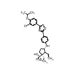 CCC1[C@@H](Nc2ccc(-c3nc(-c4ccc(OC(C)C)c(Cl)c4)no3)cc2)CC[C@]1(CC)P(=O)(O)O